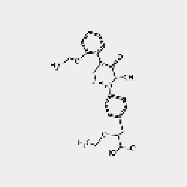 CCOc1ccccc1N(CC)C(=O)C(C)Oc1ccc(CC(OCC)C(=O)O)cc1